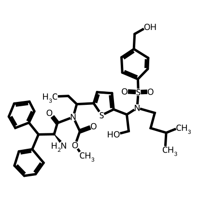 CCC(c1ccc(C(CO)N(CCC(C)C)S(=O)(=O)c2ccc(CO)cc2)s1)N(C(=O)OC)C(=O)[C@@H](N)C(c1ccccc1)c1ccccc1